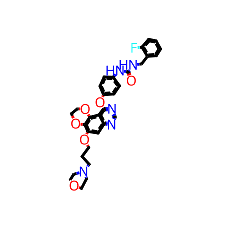 O=C(NCc1ccccc1F)Nc1ccc(Oc2ncnc3cc(OCCCN4CCOCC4)c4c(c23)OCCO4)cc1